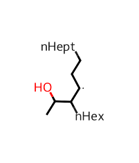 CCCCCCCCC[CH]C(CCCCCC)C(C)O